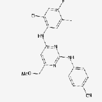 COCc1cc(Nc2cc(C)c(F)cc2Cl)nc(Nc2ccc(C#N)cc2)n1